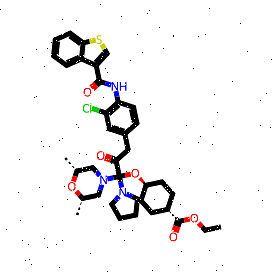 CCOC(=O)[C@H]1CC[C@H](OC(C(=O)Cc2ccc(NC(=O)c3csc4ccccc34)c(Cl)c2)(N2CCCC2)N2C[C@@H](C)O[C@@H](C)C2)CC1